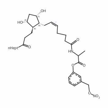 CCCCCCCC(=O)CC[C@@H]1[C@@H](C/C=C\CCCC(=O)NC(C)C(=O)Oc2cccc(CO[N+](=O)[O-])c2)[C@@H](O)C[C@H]1O